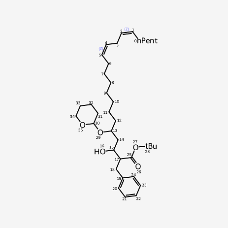 CCCCC/C=C\C/C=C\CCCCCCCC(CC(O)C(Cc1ccccc1)C(=O)OC(C)(C)C)OC1CCCCO1